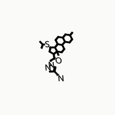 CC1CCC2C(CCC3C2CCC2(C)C(C(=O)Cn4cc(C#N)cn4)CC(SC(C)C)C32)C1